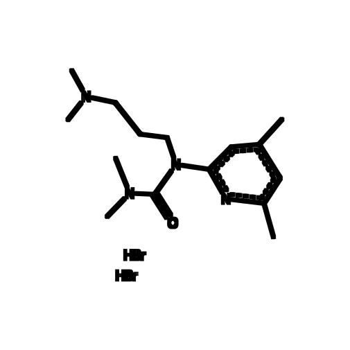 Br.Br.Cc1cc(C)nc(N(CCCN(C)C)C(=O)N(C)C)c1